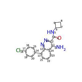 Nc1c(C(=O)NC2CCC2)nnc2c(-c3ccc(Cl)cc3)cccc12